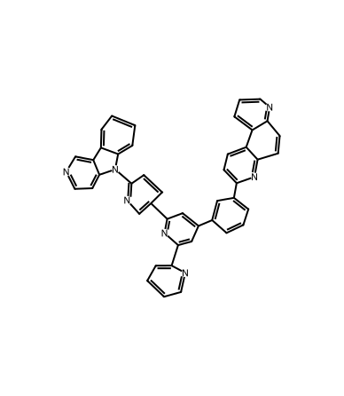 c1ccc(-c2cc(-c3cccc(-c4ccc5c(ccc6ncccc65)n4)c3)cc(-c3ccc(-n4c5ccccc5c5cnccc54)nc3)n2)nc1